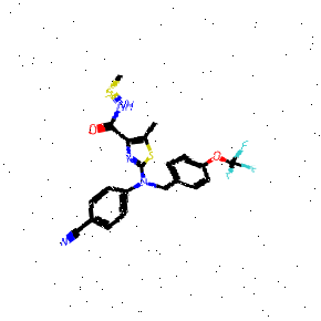 CSNC(=O)c1nc(N(Cc2ccc(OC(F)(F)F)cc2)c2ccc(C#N)cc2)sc1C